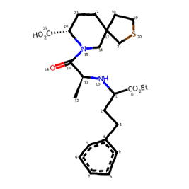 CCOC(=O)C(CCc1ccccc1)N[C@@H](C)C(=O)N1CC2(CCSC2)CC[C@H]1C(=O)O